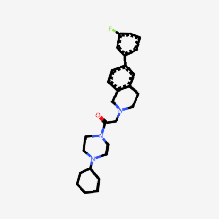 O=C(CN1CCc2cc(-c3cccc(F)c3)ccc2C1)N1CCN(C2CCCCC2)CC1